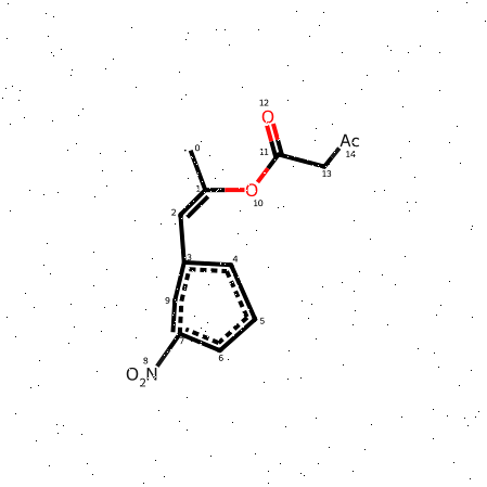 [CH2]C(=Cc1cccc([N+](=O)[O-])c1)OC(=O)CC(C)=O